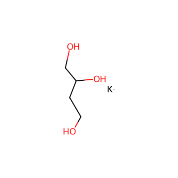 OCCC(O)CO.[K]